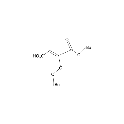 CCC(C)OC(=O)C(=CC(=O)O)OOC(C)(C)C